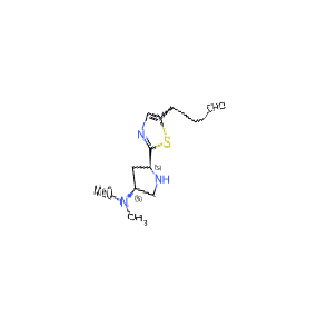 CON(C)[C@@H]1CN[C@H](c2ncc(CCC=O)s2)C1